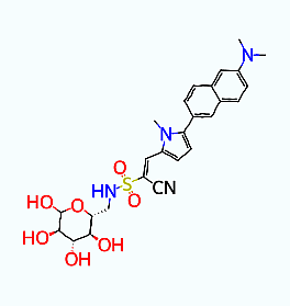 CN(C)c1ccc2cc(-c3ccc(/C=C(\C#N)S(=O)(=O)NC[C@H]4OC(O)[C@H](O)[C@@H](O)[C@@H]4O)n3C)ccc2c1